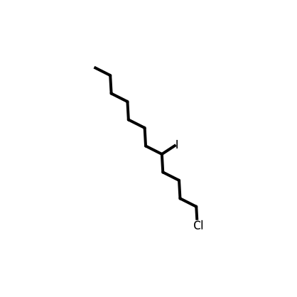 CCCCCCCC(I)CCCCCl